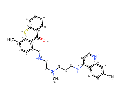 Cc1ccc(CNCCN(C)CCCNc2ccnc3cc(C#N)ccc23)c2c(=O)c3ccccc3sc12